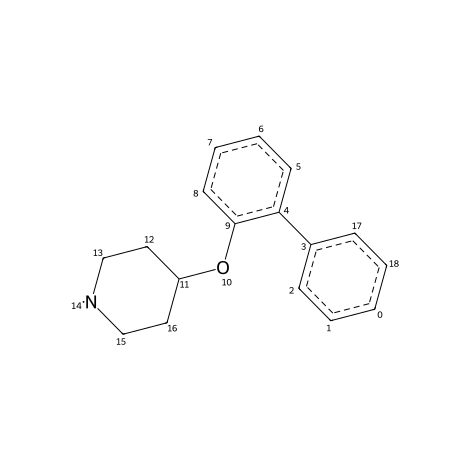 c1ccc(-c2ccccc2OC2CC[N]CC2)cc1